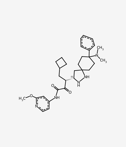 COc1cc(NC(=O)C(=O)C(CC2CCC2)[C@@H]2CC3(CCC(c4ccccc4)(N(C)C)CC3)NN2)ccn1